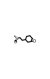 C[Si](=O)CCC1CCC2OC2C1